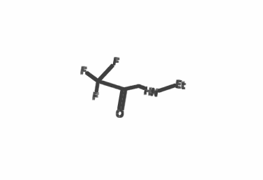 CCNCC(=O)C(F)(F)F